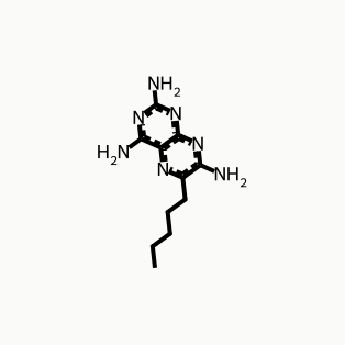 CCCCCc1nc2c(N)nc(N)nc2nc1N